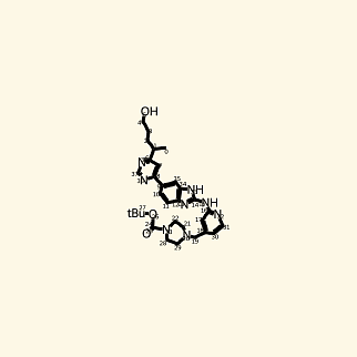 CC(CCCO)c1cc(-c2ccc3nc(Nc4cc(CN5CCN(C(=O)OC(C)(C)C)CC5)ccn4)[nH]c3c2)ncn1